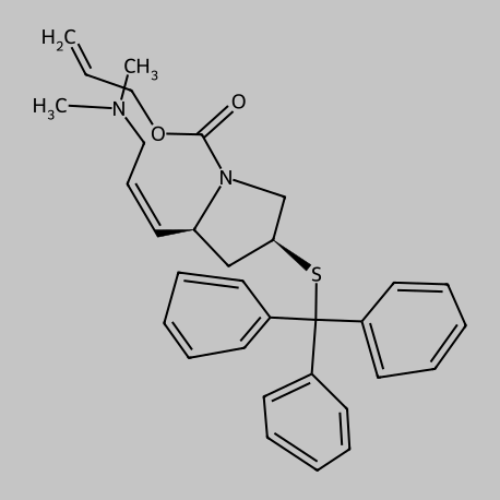 C=CCOC(=O)N1C[C@@H](SC(c2ccccc2)(c2ccccc2)c2ccccc2)C[C@H]1/C=C\CN(C)C